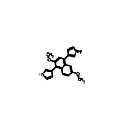 COc1ccc2c(-c3cc[nH]c3)c(OC)cc(-c3cc[nH]c3)c2c1